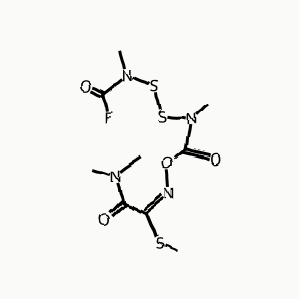 CSC(=NOC(=O)N(C)SSN(C)C(=O)F)C(=O)N(C)C